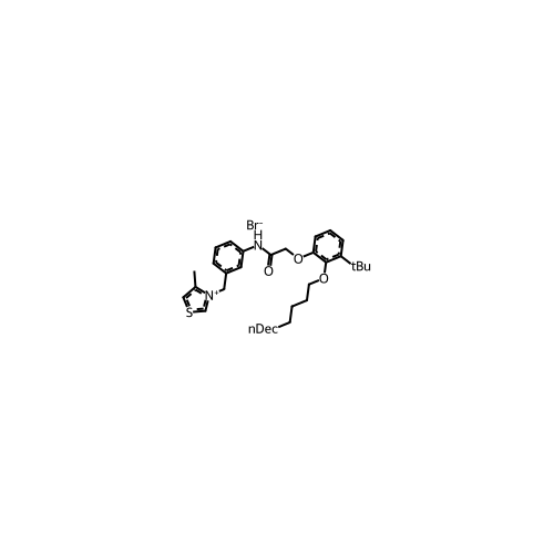 CCCCCCCCCCCCCCOc1c(OCC(=O)Nc2cccc(C[n+]3cscc3C)c2)cccc1C(C)(C)C.[Br-]